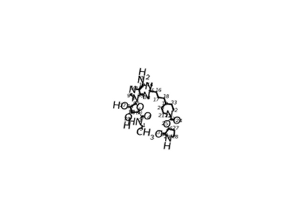 CCNC(=O)[C@H]1O[C@@H](n2cnc3c(N)nc(CCCC4CCN(C(=O)OC5CCNC5=O)CC4)nc32)C(O)[C@H]1O